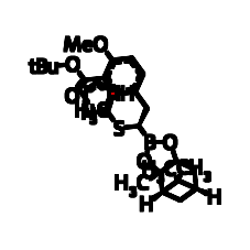 COc1ccc(C[C@H](Sc2nnc[nH]2)B2OC3C[C@@H]4C[C@@H](C4(C)C)[C@]3(C)O2)c(C)c1C(=O)OC(C)(C)C